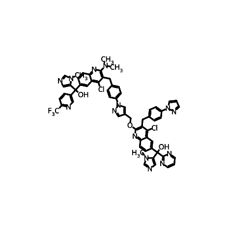 CN(C)c1nc2ccc(C(O)(c3ccc(C(F)(F)F)nc3)c3cncn3C)cc2c(Cl)c1Cc1ccc(-n2cc(COc3nc4ccc(C(O)(c5ncccn5)c5cncn5C)cc4c(Cl)c3Cc3ccc(-n4cccn4)cc3)cn2)cc1